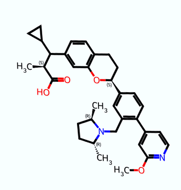 COc1cc(-c2ccc([C@@H]3CCc4ccc(C(C5CC5)[C@H](C)C(=O)O)cc4O3)cc2CN2[C@H](C)CC[C@H]2C)ccn1